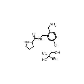 CC[C@](O)(CO)C(C)(C)C.NCc1ccc(Cl)cc1CNC(=O)C1CCCN1